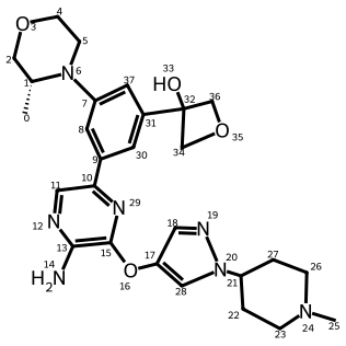 C[C@@H]1COCCN1c1cc(-c2cnc(N)c(Oc3cnn(C4CCN(C)CC4)c3)n2)cc(C2(O)COC2)c1